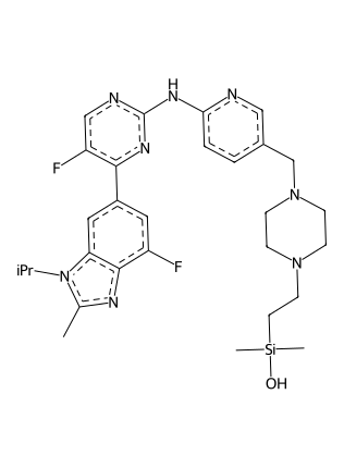 Cc1nc2c(F)cc(-c3nc(Nc4ccc(CN5CCN(CC[Si](C)(C)O)CC5)cn4)ncc3F)cc2n1C(C)C